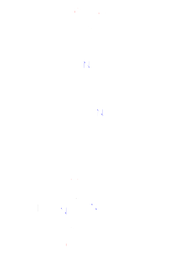 CCN1C(=O)CN(Cc2ccc(-c3cccc(CN4CCS(=O)(=O)CC4)n3)cc2)C1=O